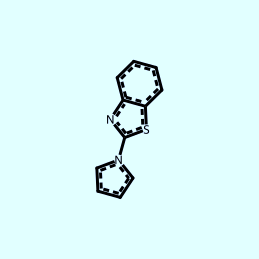 c1ccc2sc(-n3cccc3)nc2c1